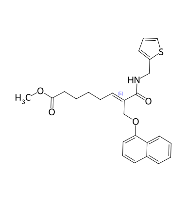 COC(=O)CCCC/C=C(\COc1cccc2ccccc12)C(=O)NCc1cccs1